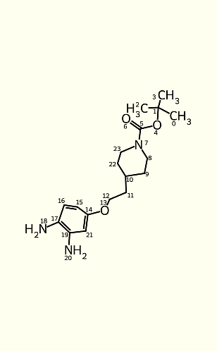 CC(C)(C)OC(=O)N1CCC(CCOc2ccc(N)c(N)c2)CC1